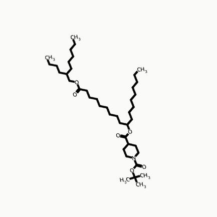 CCCCCCCCCC(CCCCCCCCC(=O)OCC(CCCC)CCCCCC)OC(=O)C1CCN(C(=O)OC(C)(C)C)CC1